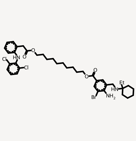 CCC1(NCc2cc(C(=O)OCCCCCCCCCCOC(=O)Cc3ccccc3Nc3c(Cl)cccc3Cl)cc(Br)c2N)CCCCC1